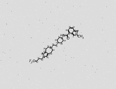 Cn1cc2c(C(=O)N[C@H]3CC[C@H](CCN4CCc5cn(CCCC(F)(F)F)nc5CC4)CC3)cccc2n1